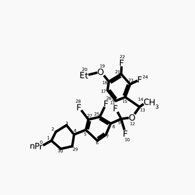 CCCC1CCC(c2ccc(C(F)(F)OC(C)c3ccc(OCC)c(F)c3F)c(F)c2F)CC1